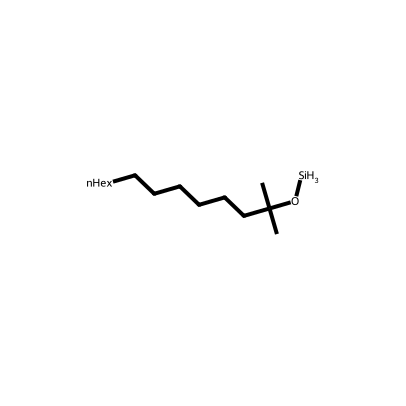 CCCCCCCCCCCCC(C)(C)O[SiH3]